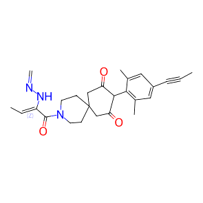 C=NN/C(=C\C)C(=O)N1CCC2(CC1)CC(=O)C(c1c(C)cc(C#CC)cc1C)C(=O)C2